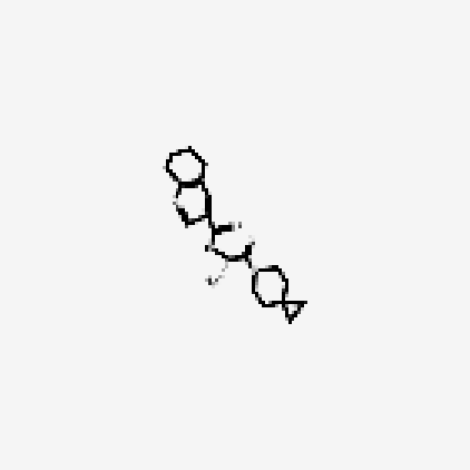 C[C@H](NC(=O)c1cnc2c(c1)CCCC2)C(=O)N1CCC2(CC1)CC2